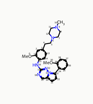 COc1cc(CCN2CCN(C)CC2)ccc1Nc1ncc2ccc(-c3ccccc3OC)n2n1